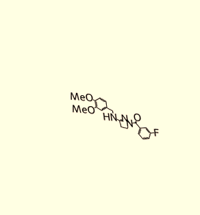 COc1ccc(CNC2=NN(C(=O)c3cccc(F)c3)CC2)cc1OC